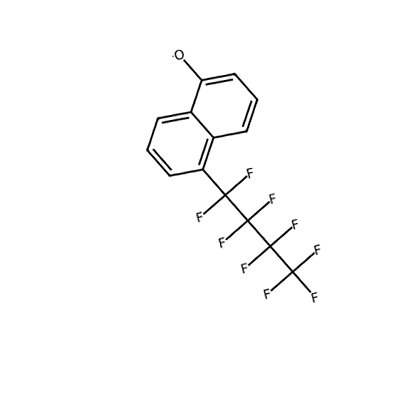 [O]c1cccc2c(C(F)(F)C(F)(F)C(F)(F)C(F)(F)F)cccc12